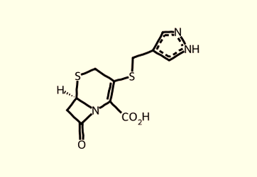 O=C(O)C1=C(SCc2cn[nH]c2)CS[C@@H]2CC(=O)N12